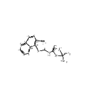 CC(C)(C)OC(=O)NCCc1c(N)ccc2ccccc12